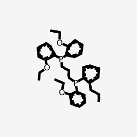 CCCc1ccccc1P(CCCP(c1ccccc1OCC)c1ccccc1OCC)c1ccccc1OCC